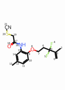 C=C(C)C(F)(F)CCOc1ccc(C)cc1NC(=O)CSC#N